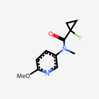 COc1ccc(N(C)C(=O)C2(F)CC2)cn1